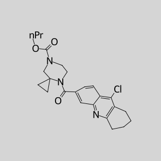 CCCOC(=O)N1CCN(C(=O)c2ccc3c(Cl)c4c(nc3c2)CCCC4)C2(CC2)C1